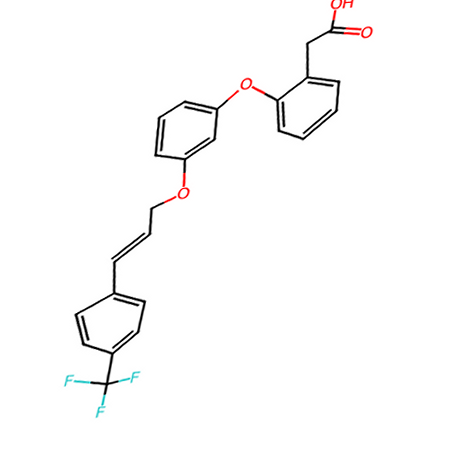 O=C(O)Cc1ccccc1Oc1cccc(OCC=Cc2ccc(C(F)(F)F)cc2)c1